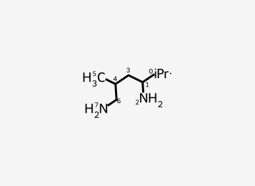 C[C](C)C(N)CC(C)CN